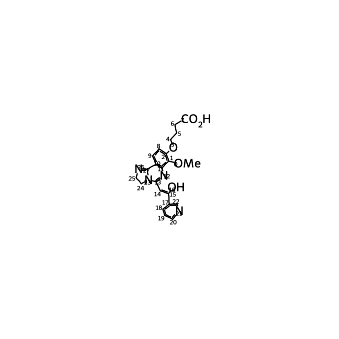 COc1c(OCCCC(=O)O)ccc2c1N=C(C=C(O)c1cccnc1)N1CCN=C21